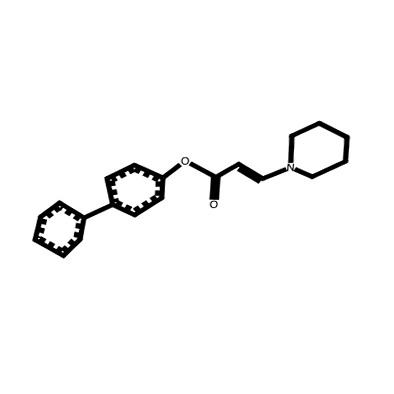 O=C(/C=C/N1CCCCC1)Oc1ccc(-c2ccccc2)cc1